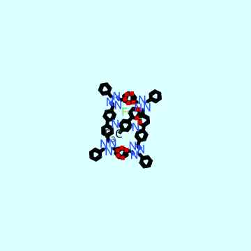 Fc1cccc(F)c1-c1cc(-n2c3cc(-c4nc(-c5ccccc5)nc(-c5ccccc5)n4)ccc3c3ccc(-c4nc(-c5ccccc5)nc(-c5ccccc5)n4)cc32)c(C(F)(F)F)cc1-n1c2cc(-c3nc(-c4ccccc4)nc(-c4ccccc4)n3)ccc2c2ccc(-c3nc(-c4ccccc4)nc(-c4ccccc4)n3)cc21